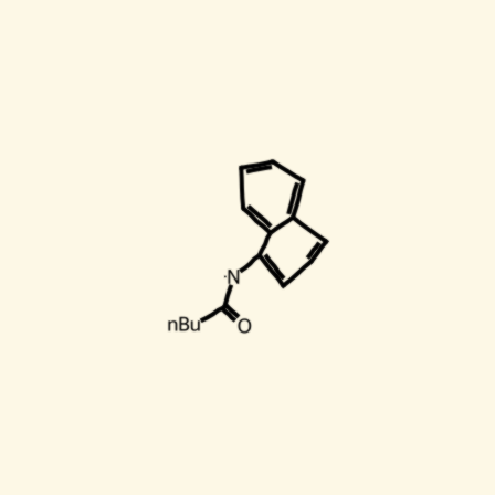 CCCCC(=O)[N]c1cccc2ccccc12